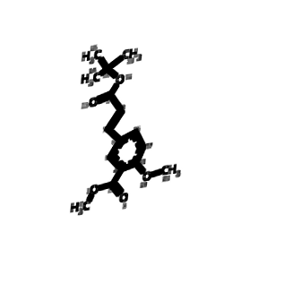 COC(=O)c1cc(C=CC(=O)OC(C)(C)C)ccc1OC